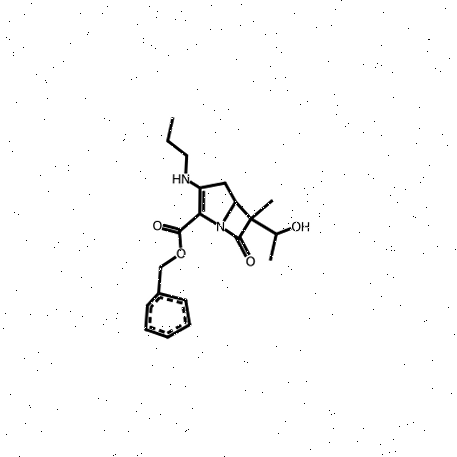 CCCNC1=C(C(=O)OCc2ccccc2)N2C(=O)C(C)(C(C)O)C2C1